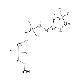 CC(C)(CCO)OCCC(C)(C)OCC1COC(C)(C)O1